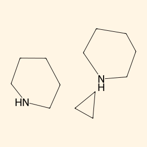 C1CC1.C1CCNCC1.C1CCNCC1